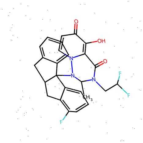 CC1N(CC(F)F)C(=O)c2c(O)c(=O)ccn2N1C12c3ccccc3CC1Cc1c(F)cccc12